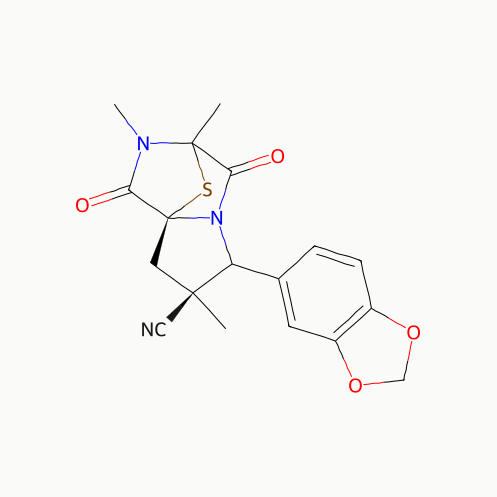 CN1C(=O)[C@@]23C[C@](C)(C#N)C(c4ccc5c(c4)OCO5)N2C(=O)C1(C)S3